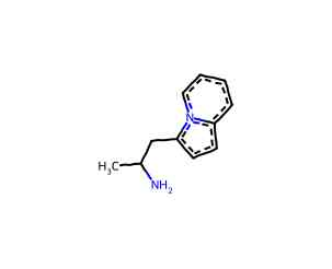 CC(N)Cc1ccc2ccccn12